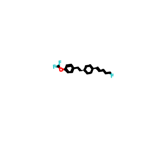 FCCCC=C[C@H]1CC[C@H](CCc2ccc(OC(F)F)cc2)CC1